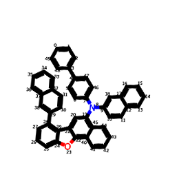 c1ccc(-c2ccc(N(c3ccc4ccccc4c3)c3cc4c(oc5cccc(-c6ccc7ccccc7c6)c54)c4ccccc34)cc2)cc1